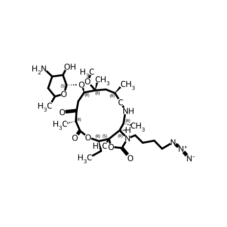 CC[C@H]1OC(=O)[C@H](C)C(=O)C[C@@H](O[C@@H]2OC(C)CC(N)C2O)[C@](C)(OC)C[C@@H](C)CN[C@H](C)[C@H]2N(CCCCN=[N+]=[N-])C(=O)O[C@]12C